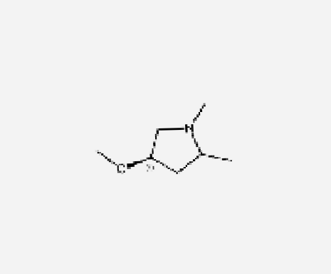 CO[C@@H]1CC(C)N(C)C1